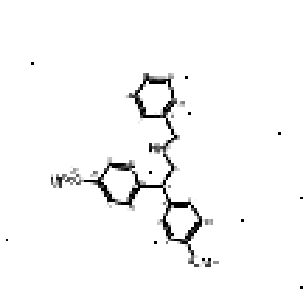 COc1ccc(C(CNCc2ccccc2)c2ccc(OC)cc2)cc1.Cl